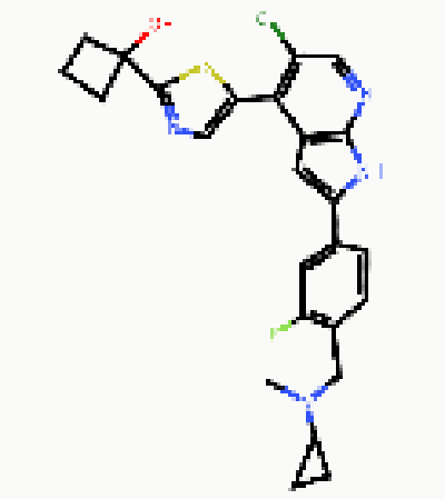 CN(Cc1ccc(-c2cc3c(-c4cnc(C5(O)CCC5)s4)c(Cl)cnc3[nH]2)cc1F)C1CC1